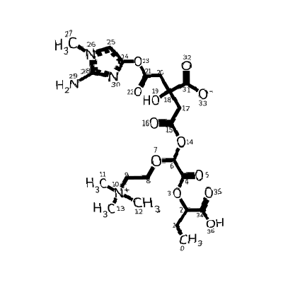 CCC(OC(=O)C(OCC[N+](C)(C)C)OC(=O)CC(O)(CC(=O)Oc1cn(C)c(N)n1)C(=O)[O-])C(=O)O